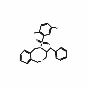 Cc1ccc(Cl)cc1S(=O)(=O)N1Cc2ccccc2COCC1Cc1ccccc1